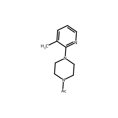 CC(=O)N1CCN(c2ncccc2C)CC1